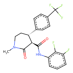 CN1CC[C@H](c2ccc(C(F)(F)F)cc2)[C@@H](C(=O)Nc2cccc(F)c2F)C1=O